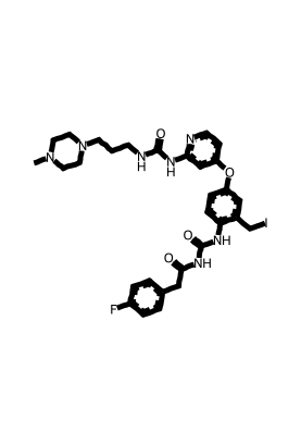 CN1CCN(CCCNC(=O)Nc2cc(Oc3ccc(NC(=O)NC(=O)Cc4ccc(F)cc4)c(CI)c3)ccn2)CC1